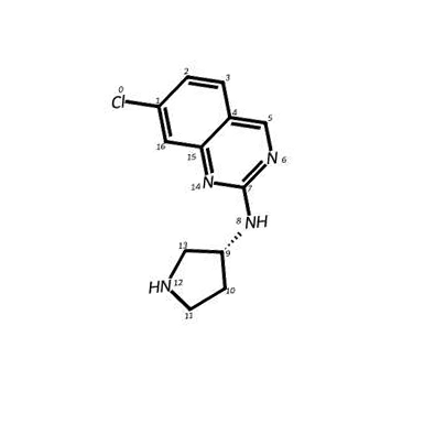 Clc1ccc2cnc(N[C@@H]3CCNC3)nc2c1